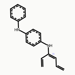 C=C/C=C(\C=C)Nc1ccc(Nc2ccccc2)cc1